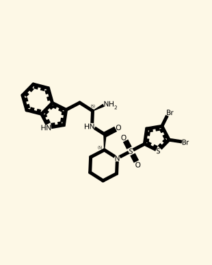 N[C@H](Cc1c[nH]c2ccccc12)NC(=O)[C@@H]1CCCCN1S(=O)(=O)c1cc(Br)c(Br)s1